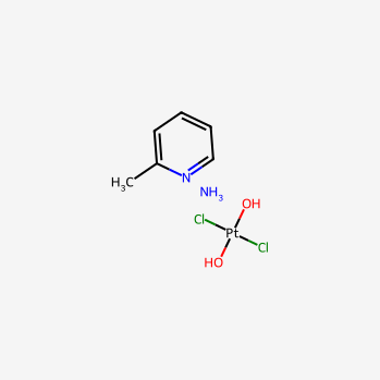 Cc1ccccn1.N.[OH][Pt]([OH])([Cl])[Cl]